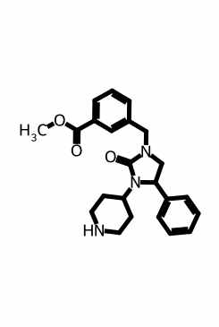 COC(=O)c1cccc(CN2CC(c3ccccc3)N(C3CCNCC3)C2=O)c1